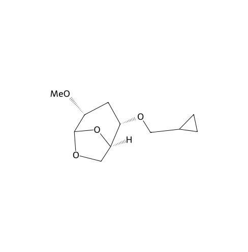 CO[C@@H]1C[C@H](OCC2CC2)[C@H]2COC1O2